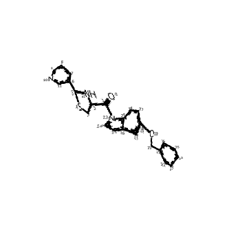 O=C(C1CSC(c2cccnc2)N1)n1ccc2cc(OCc3ccccc3)ccc21